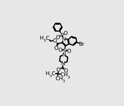 CCOC(=O)c1c(S(=O)(=O)N2CCN(C(=O)OC(C)(C)C)CC2)c2cc(Br)ccc2n1S(=O)(=O)c1ccccc1